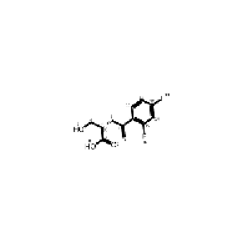 C=C(C[C@@H](CO)C(=O)O)c1ccc(F)cc1F